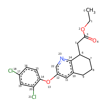 CCOC(=O)CC1CCCc2cc(Oc3ccc(Cl)cc3Cl)cnc21